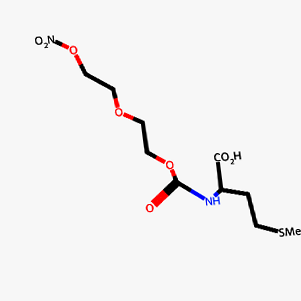 CSCCC(NC(=O)OCCOCCO[N+](=O)[O-])C(=O)O